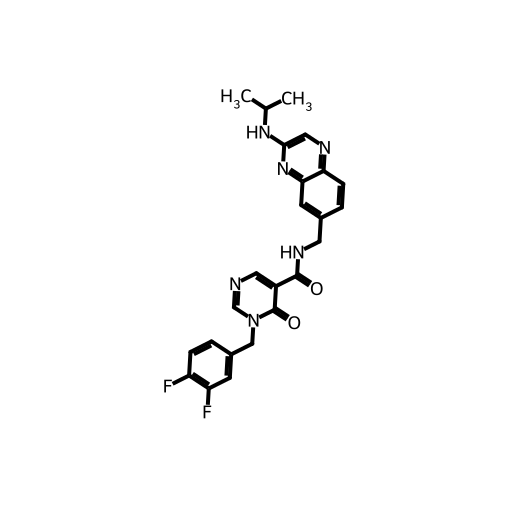 CC(C)Nc1cnc2ccc(CNC(=O)c3cncn(Cc4ccc(F)c(F)c4)c3=O)cc2n1